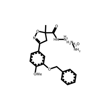 COc1ccc(C2=NOC(C)(C(=O)NN)C2)cc1OCc1ccccc1.NN.O